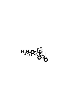 Cc1ccc(C(N)=O)c(C)c1CN(CC(O)C(F)(F)F)c1cccc(Oc2ccccc2)c1